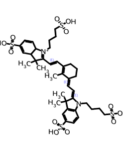 CC1=C(/C=C/C2=[N+](CCCCS(=O)(=O)O)C3C=CC(S(=O)(=O)O)=CC3C2(C)C)CCC/C1=C\C=C1\N(CCCCS(=O)(=O)O)c2ccc(S(=O)(=O)O)cc2C1(C)C